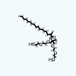 CCCCCCCCCCCCCCCC(C)C1=NC(COCCOCCO)(COCCOCCO)CO1